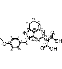 COc1ccc(Cn2nc3c4c(nc(N(C(=O)O)C(=O)O)nc42)SCC3)cc1